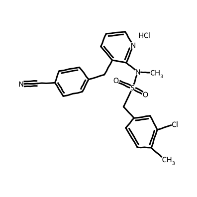 Cc1ccc(CS(=O)(=O)N(C)c2ncccc2Cc2ccc(C#N)cc2)cc1Cl.Cl